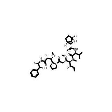 CC[C@H](C)[C@@H]([C@@H](CC(=O)N1CCC[C@H]1[C@H](OC)[C@@H](C)C(=O)N[C@H](C)[C@@H](O)c1ccccc1)OC)N(C)C(=O)[C@@H](NC(=O)[C@H]1N[C@H]2CC[C@H]1C2)C(C)C